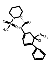 CS(=O)(=O)N1CCCC[C@@H]1C(=O)NC1=CC=C(c2ccccc2)C(Cl)(OC(F)(F)F)C1